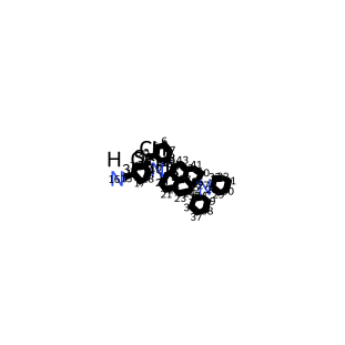 C[Si](C)(C)c1ccccc1N(c1ccc(C#N)cc1)c1ccc2ccc3c(N(c4ccccc4)c4ccccc4)ccc4ccc1c2c43